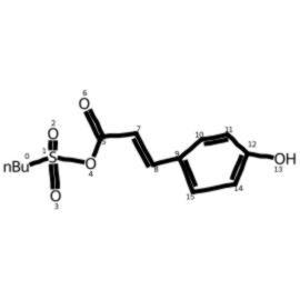 CCCCS(=O)(=O)OC(=O)/C=C/c1ccc(O)cc1